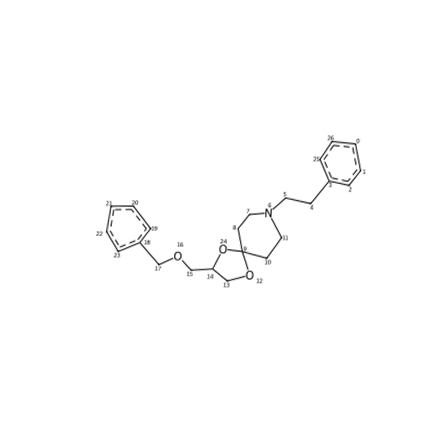 c1ccc(CCN2CCC3(CC2)OCC(COCc2ccccc2)O3)cc1